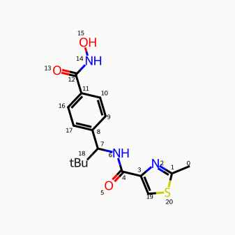 Cc1nc(C(=O)NC(c2ccc(C(=O)NO)cc2)C(C)(C)C)cs1